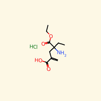 C=C(CC(N)(CC)C(=O)OCC)C(=O)O.Cl